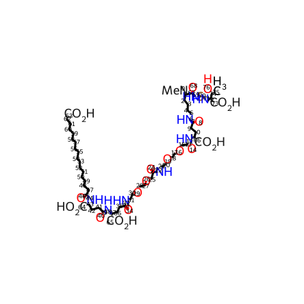 CN[C@@H](CCCCNC(=O)CC[C@H](NC(=O)COCCOCCNC(=O)COCCOCCNC(=O)CC[C@H](NC(=O)CC[C@H](NC(=O)CCCCCCCCCCCCCCCCC(=O)O)C(=O)O)C(=O)O)C(=O)O)C(=O)NSN[C@H](C(=O)O)[C@@H](C)O